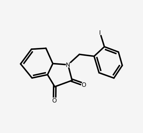 O=C1C(=O)N(Cc2ccccc2I)C2CC=CC=C12